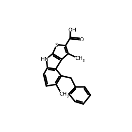 Cc1ccc2[nH]c3sc(C(=O)O)c(C)c3c2c1Cc1ccccc1